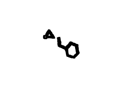 C1CO1.C=CC1CC=CCC1